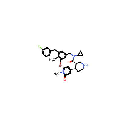 Cc1c(Br)cc(CN(C(=O)[C@@H]2CNCC[C@H]2c2ccn(C)c(=O)c2)C2CC2)cc1Cc1cccc(F)c1